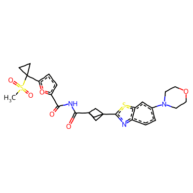 CS(=O)(=O)C1(c2ccc(C(=O)NC(=O)C34CC(c5nc6ccc(N7CCOCC7)cc6s5)(C3)C4)o2)CC1